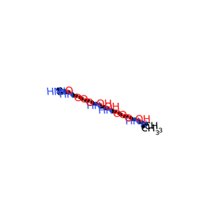 CCN(CC)CCC(O)NCCCOCCOCCOCCCNC(O)CCCC(O)NCCCOCCOCCOCCCNC(=O)CCN1CCNCC1